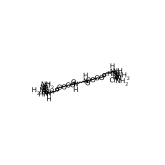 N=C(NCCCCc1ccc(OCCOCCOCCOC(=O)NCCCCCCNC(=O)OCCOCCOCCOc2ccc(CCCCNC(=N)NC(=O)c3nc(Cl)c(N)nc3N)cc2)cc1)NC(=O)c1nc(Cl)c(N)nc1N